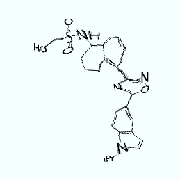 CC(C)n1ccc2cc(-c3nc(-c4cccc5c4CCCC5NS(=O)(=O)CO)no3)ccc21